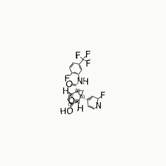 O=C(Nc1cc(C(F)(F)F)ccc1F)[C@]12C[C@@]1(c1ccnc(F)c1)[C@H]1O[C@@H]2C[C@@H]1O